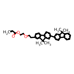 C=CC(=O)OCCOCCc1ccc2c(c1)C(C)(C)c1cc(-c3ccc4c(c3)C(C)(C)c3ccccc3-4)ccc1-2